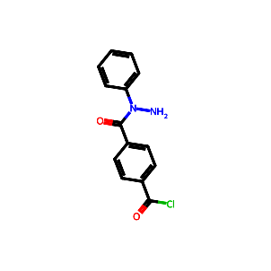 NN(C(=O)c1ccc(C(=O)Cl)cc1)c1ccccc1